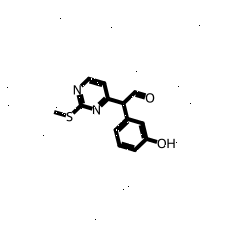 CSc1nccc(C(C=O)c2cccc(O)c2)n1